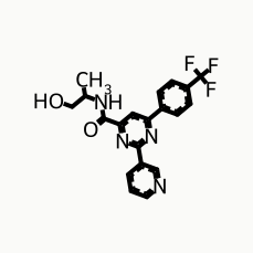 CC(CO)NC(=O)c1cc(-c2ccc(C(F)(F)F)cc2)nc(-c2cccnc2)n1